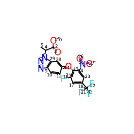 COC(=O)C(C)n1nnc2ccc(Oc3c(F)cc(C(F)(F)F)cc3[N+](=O)[O-])cc21